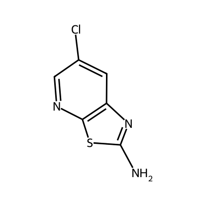 Nc1nc2cc(Cl)cnc2s1